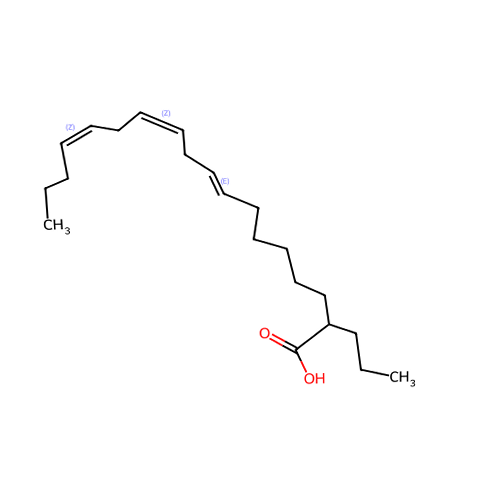 CCC/C=C\C/C=C\C/C=C/CCCCCC(CCC)C(=O)O